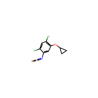 Fc1cc(Cl)c(OC2CC2)cc1N=C=S